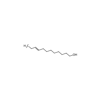 CC/C=C/CCCCCCCCO